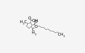 CCCCCCCCCCOC(=O)C1C(C)CCC(C)C1C(=O)O